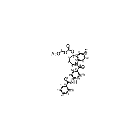 CC(=O)OCOC(=O)OC1CCCN(C(=O)c2ccc(NC(=O)c3ccccc3C)cc2C)c2ccc(Cl)cc21